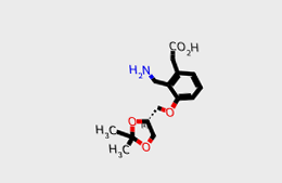 CC1(C)OC[C@@H](COc2cccc(CC(=O)O)c2CN)O1